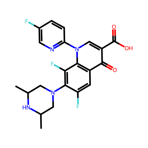 CC1CN(c2c(F)cc3c(=O)c(C(=O)O)cn(-c4ccc(F)cn4)c3c2F)CC(C)N1